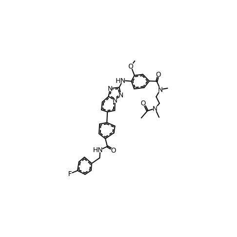 COc1cc(C(=O)N(C)CCN(C)C(C)=O)ccc1Nc1nc2ccc(-c3ccc(C(=O)NCc4ccc(F)cc4)cc3)cn2n1